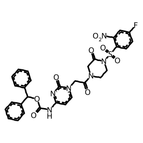 O=C(Nc1ccn(CC(=O)N2CCN(S(=O)(=O)c3ccc(F)cc3[N+](=O)[O-])C(=O)C2)c(=O)n1)OC(c1ccccc1)c1ccccc1